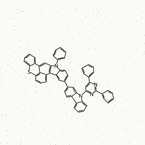 c1ccc(-c2cc(-n3c4ccccc4c4ccc(-c5ccc6c(c5)c5c7cccc8c7c(cc5n6-c5ccccc5)-c5ccccc5S8)cc43)nc(-c3ccccc3)n2)cc1